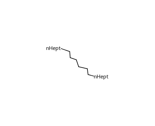 CC[CH]CCCCCCCCCCCCCCCCC